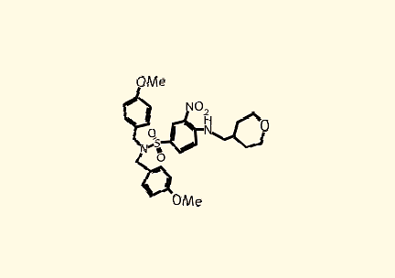 COc1ccc(CN(Cc2ccc(OC)cc2)S(=O)(=O)c2ccc(NCC3CCOCC3)c([N+](=O)[O-])c2)cc1